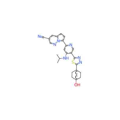 CC(C)Nc1cc(-c2ccc3cc(C#N)cnn23)ncc1-c1nnc(C23CCC(O)(CC2)CC3)s1